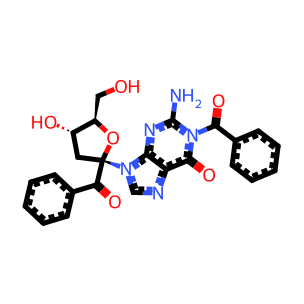 Nc1nc2c(ncn2[C@@]2(C(=O)c3ccccc3)C[C@H](O)[C@@H](CO)O2)c(=O)n1C(=O)c1ccccc1